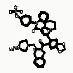 O=C(c1cc(-c2cc3c(cc2C(=O)N2Cc4ccccc4C[C@H]2CN2CCOCC2)OCO3)n2c1CCCC2)N(c1ccccc1)c1ccc(OP(=O)([O-])[O-])cc1.[Na+].[Na+]